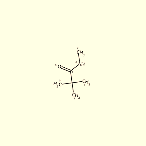 [CH2]C(C)(C)C(=O)NC